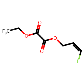 O=C(OC/C=C\F)C(=O)OCC(F)(F)F